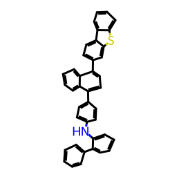 c1ccc(-c2ccccc2Nc2ccc(-c3ccc(-c4ccc5c(c4)sc4ccccc45)c4ccccc34)cc2)cc1